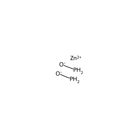 [O-]P.[O-]P.[Zn+2]